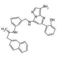 Bc1cnn2c(NCc3cccc(NC(=C)Cc4ccc5ccccc5c4)c3)cc(-c3ccccc3O)nc12